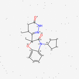 CC1CC(=O)NN=C1C1(C)Oc2ccccc2N(C2CCCC2)C1=O